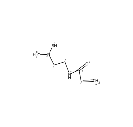 C=CC(=O)NCCN(C)S